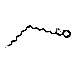 CCCCCCCC/C=C\CCCCCCCC(N)=Cc1ccccc1